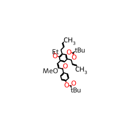 CC=CCc1cc(C=C(OC)C(=O)c2ccc(OC(=O)C(C)(C)C)cc2)c(OCC)c(CC=CC)c1OC(=O)C(C)(C)C